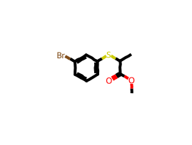 COC(=O)C(C)Sc1cccc(Br)c1